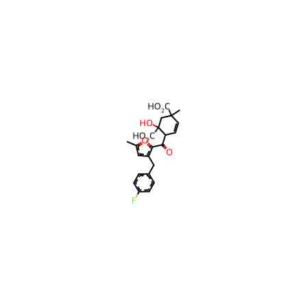 Cc1cc(Cc2ccc(F)cc2)c(C(=O)C2C=CC(C)(C(=O)O)CC2(O)C(=O)O)o1